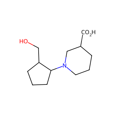 O=C(O)C1CCCN(C2CCCC2CO)C1